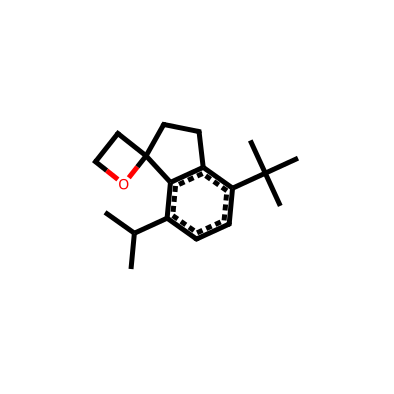 CC(C)c1ccc(C(C)(C)C)c2c1C1(CCO1)CC2